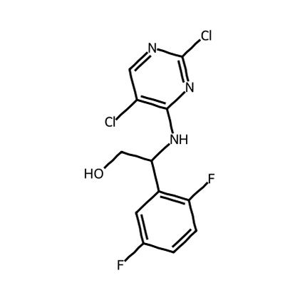 OCC(Nc1nc(Cl)ncc1Cl)c1cc(F)ccc1F